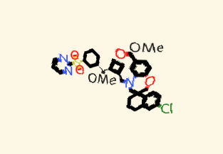 COC(=O)c1ccc2c(c1)N(C[C@@H]1CC[C@H]1C(OC)[C@H]1CCC[C@H](S(=O)(=O)c3ncccn3)C1)CC1(CCCc3cc(Cl)ccc31)CO2